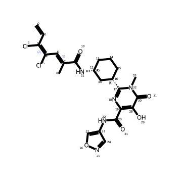 C=C/C(Cl)=C(Cl)\C=C(/C)C(=O)N[C@@H]1CCC[C@H](c2nc(C(=O)Nc3cnoc3)c(O)c(=O)n2C)C1